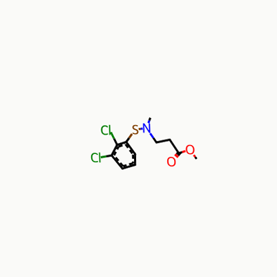 COC(=O)CCN(C)Sc1cccc(Cl)c1Cl